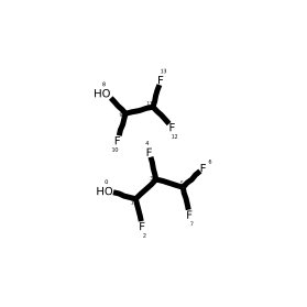 OC(F)C(F)C(F)F.OC(F)C(F)F